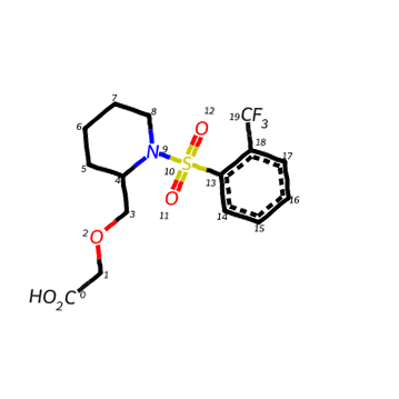 O=C(O)COCC1CCCCN1S(=O)(=O)c1ccccc1C(F)(F)F